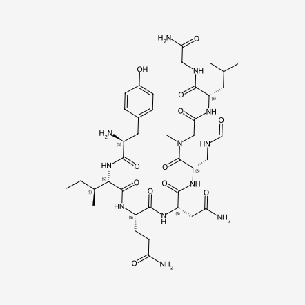 CC[C@H](C)[C@H](NC(=O)[C@@H](N)Cc1ccc(O)cc1)C(=O)N[C@@H](CCC(N)=O)C(=O)N[C@@H](CC(N)=O)C(=O)N[C@@H](CNC=O)C(=O)N(C)CC(=O)N[C@@H](CC(C)C)C(=O)NCC(N)=O